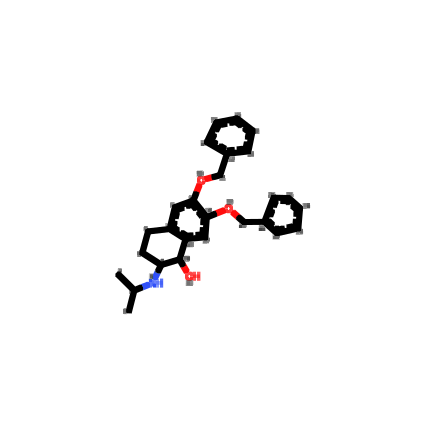 CC(C)NC1CCc2cc(OCc3ccccc3)c(OCc3ccccc3)cc2C1O